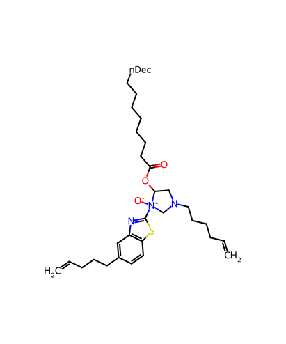 C=CCCCCN1CC(OC(=O)CCCCCCCCCCCCCCCCC)[N+]([O-])(c2nc3cc(CCCC=C)ccc3s2)C1